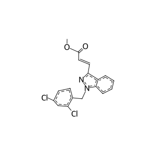 COC(=O)/C=C/c1nn(Cc2ccc(Cl)cc2Cl)c2ccccc12